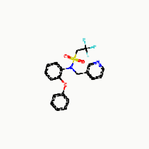 O=S(=O)(CC(F)(F)F)N(Cc1cccnc1)c1ccccc1Oc1ccccc1